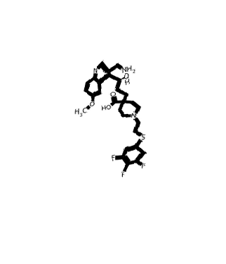 COc1ccc2ncc(CN)c([C@H](O)CCC3(C(=O)O)CCN(CCSc4cc(F)c(F)c(F)c4)CC3)c2c1